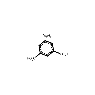 O=C(O)c1cccc(C(=O)O)c1.[MgH2]